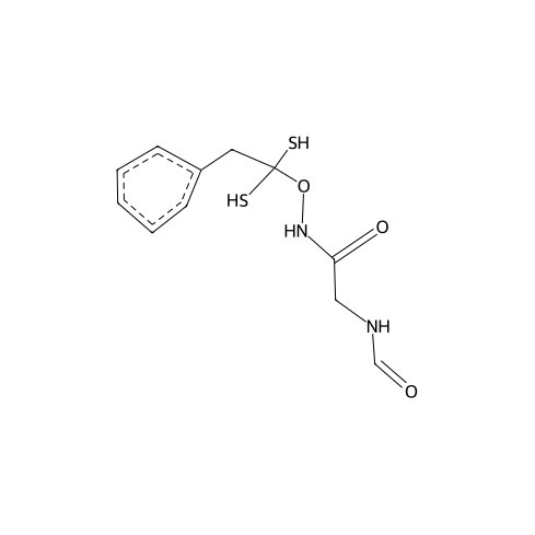 O=CNCC(=O)NOC(S)(S)Cc1ccccc1